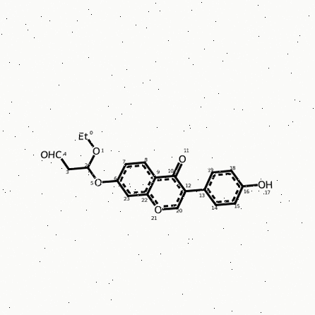 CCOC(CC=O)Oc1ccc2c(=O)c(-c3ccc(O)cc3)coc2c1